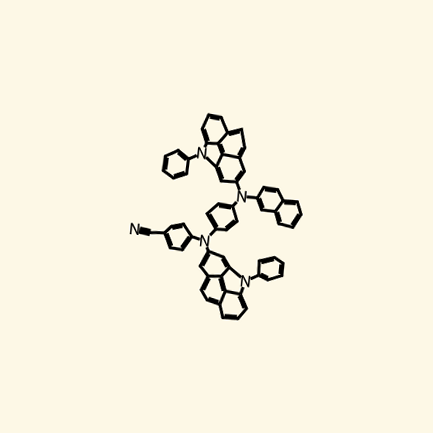 N#Cc1ccc(N(c2ccc(N(c3ccc4ccccc4c3)c3cc4ccc5cccc6c5c4c(c3)n6-c3ccccc3)cc2)c2cc3ccc4cccc5c4c3c(c2)n5-c2ccccc2)cc1